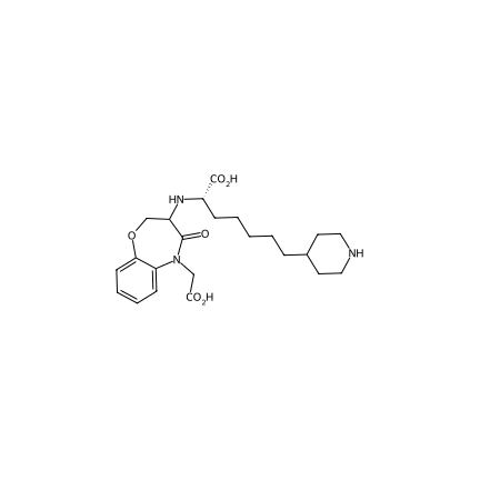 O=C(O)CN1C(=O)C(N[C@@H](CCCCCC2CCNCC2)C(=O)O)COc2ccccc21